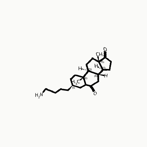 C[C@]12CC[C@H](CCCCN)CC1C(=O)C[C@@H]1[C@@H]2CC[C@]2(C)C(=O)CC[C@@H]12